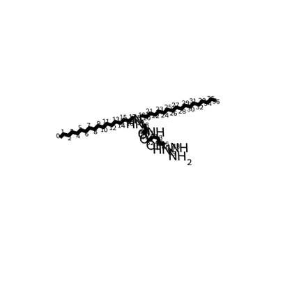 CCCCCCCCCCCCCCCCCCN(CCCCCCCCCCCCCCCCCC)NCC(=O)NC(CCCNC(=N)N)C(=O)O